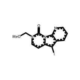 COCn1ccc2c(I)c3cccnc3n2c1=O